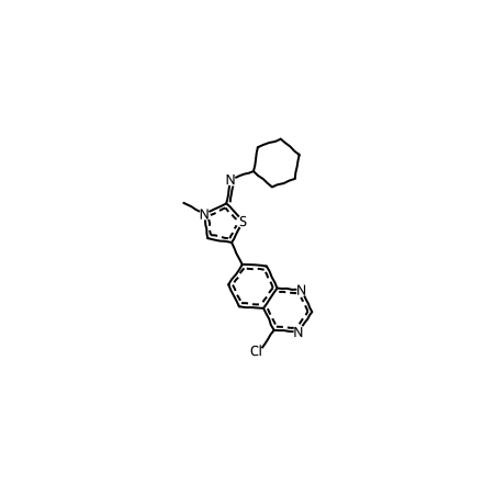 Cn1cc(-c2ccc3c(Cl)ncnc3c2)s/c1=N\C1CCCCC1